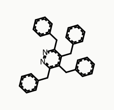 c1ccc(Cc2nnc(Cc3ccccc3)c(Cc3ccccc3)c2Cc2ccccc2)cc1